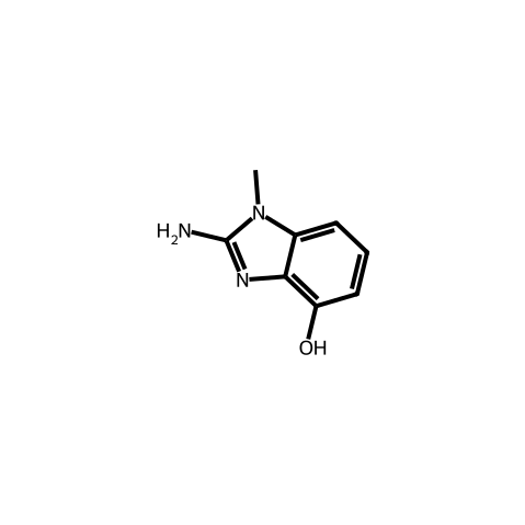 Cn1c(N)nc2c(O)cccc21